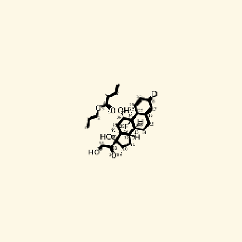 CCCOC(=O)CCC.C[C@H]1C[C@H]2[C@@H]3CCC4=CC(=O)C=C[C@]4(C)[C@@]3(F)[C@@H](O)C[C@]2(C)[C@@]1(O)C(=O)CO